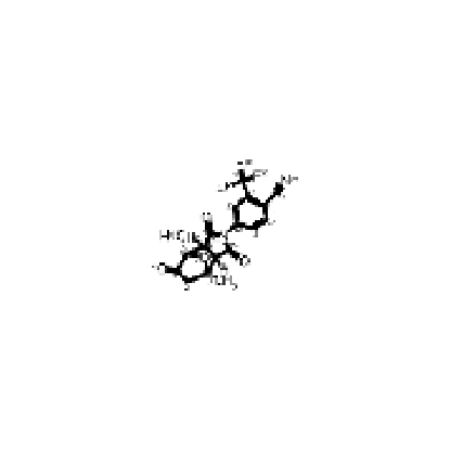 C[C@]12CC(=O)[C@](C)(O1)[C@@H]1C(=O)N(c3ccc(C#N)c(C(F)(F)F)c3)C(=O)[C@@H]12